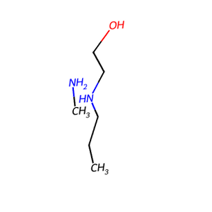 CCCNCCO.CN